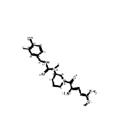 CO/C(N)=C/C=C(\N)C(=O)N1CCCC(N(C)C(=O)NCc2ccc(Cl)c(C)c2)C1